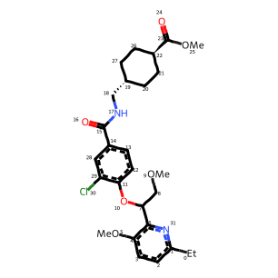 CCc1ccc(OC)c(C(COC)Oc2ccc(C(=O)NC[C@H]3CC[C@H](C(=O)OC)CC3)cc2Cl)n1